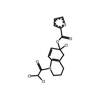 O=C(OC1(Cl)C=CC2=C(CCCN2C(=O)C(Cl)Cl)C1)c1cccs1